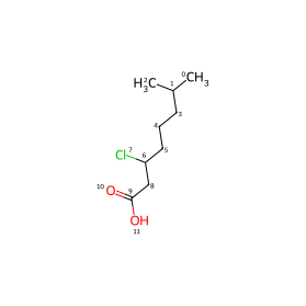 CC(C)CCCC(Cl)CC(=O)O